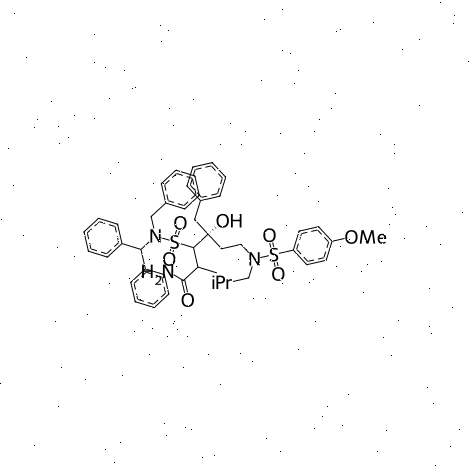 COc1ccc(S(=O)(=O)N(CC[C@](O)(Cc2ccccc2)C(C(C)C(N)=O)S(=O)(=O)N(Cc2ccccc2)C(c2ccccc2)c2ccccc2)CC(C)C)cc1